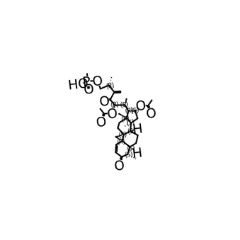 C=C(C(=O)[C@H](OC(C)=O)[C@@H](C)[C@H]1[C@@H](OC(C)=O)C[C@@]2(C)[C@@H]3CC[C@H]4[C@H](C)C(=O)C=C[C@@]45C[C@@]35CC[C@]12C)[C@@H](C)COP(C)(=O)O